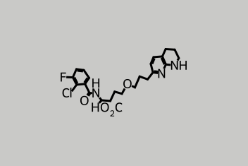 O=C(NC(CCCOCCCc1ccc2c(n1)NCCC2)C(=O)O)c1cccc(F)c1Cl